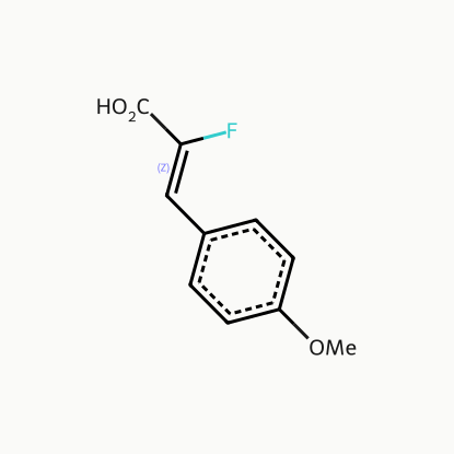 COc1ccc(/C=C(\F)C(=O)O)cc1